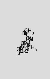 COc1cccc(C#CC2(CS(=O)(=O)N3CCN(c4ccc(-c5cc(-c6cnn(C)c6)cn6ncc(C#N)c56)cn4)CC3)CC2)c1